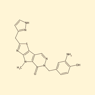 Cn1c2nc(Cc3cc[nH]n3)sc2c2cnn(Cc3ccc(O)c(N)c3)c(=O)c21